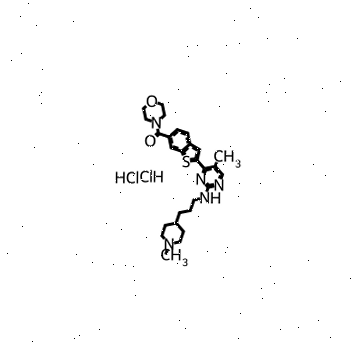 Cc1cnc(NCCCC2CCN(C)CC2)nc1-c1cc2ccc(C(=O)N3CCOCC3)cc2s1.Cl.Cl